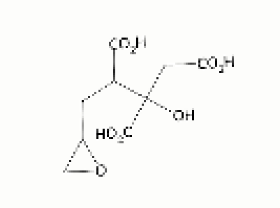 O=C(O)CC(O)(C(=O)O)C(CC1CO1)C(=O)O